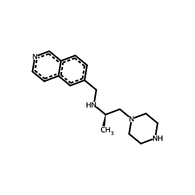 C[C@H](CN1CCNCC1)NCc1ccc2cnccc2c1